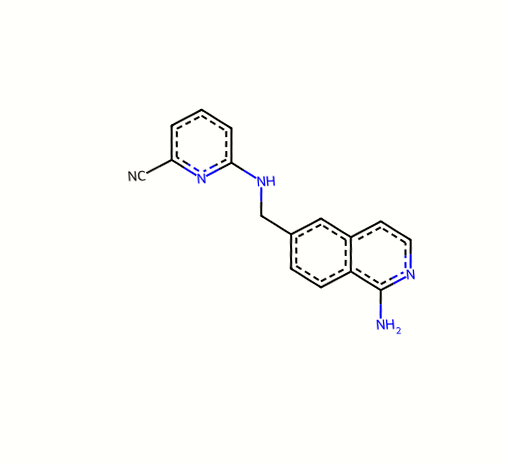 N#Cc1cccc(NCc2ccc3c(N)nccc3c2)n1